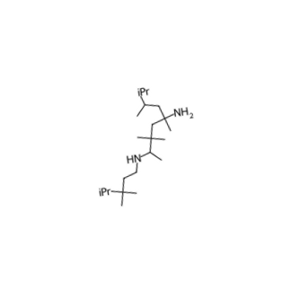 CC(C)C(C)CC(C)(N)CC(C)(C)C(C)NCCC(C)(C)C(C)C